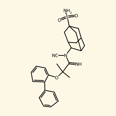 CC(C)(Oc1ccccc1-c1ccccc1)C(=N)N(C#N)C1C2CC3CC1CC(S(N)(=O)=O)(C3)C2